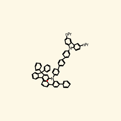 CCCc1ccc2c(c1)c1cc(CCC)ccc1n2-c1ccc(-c2ccc(-c3ccc(N(c4ccc5c(c4)C(c4ccccc4)(c4ccccc4)c4ccccc4-5)c4cc(-c5ccccc5)ccc4-c4ccccc4)cc3)cc2)cc1